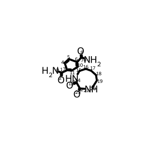 NC(=O)c1ccc(C(N)=O)cc1.O=C1NCCCCCCNC1=O